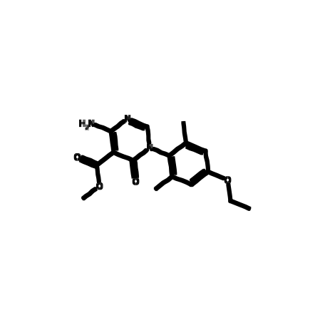 CCOc1cc(C)c(-n2cnc(N)c(C(=O)OC)c2=O)c(C)c1